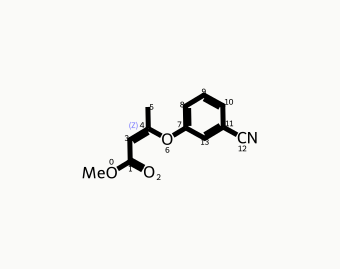 COC(=O)/C=C(/C)Oc1cccc(C#N)c1